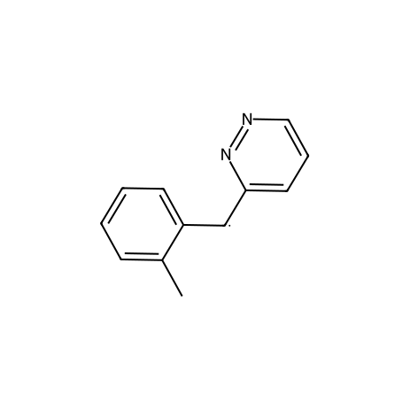 Cc1ccccc1[CH]c1cccnn1